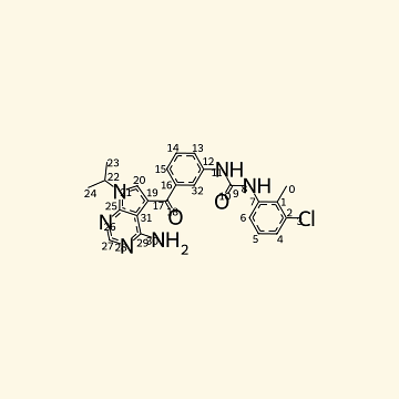 Cc1c(Cl)cccc1NC(=O)Nc1cccc(C(=O)c2cn(C(C)C)c3ncnc(N)c23)c1